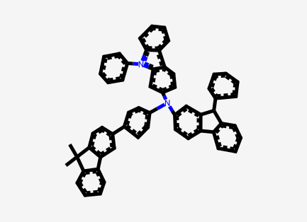 CC1(C)c2ccccc2-c2cc(-c3ccc(N(c4ccc5c(c4)C(c4ccccc4)c4ccccc4-5)c4ccc5c6ccccc6n(-c6ccccc6)c5c4)cc3)ccc21